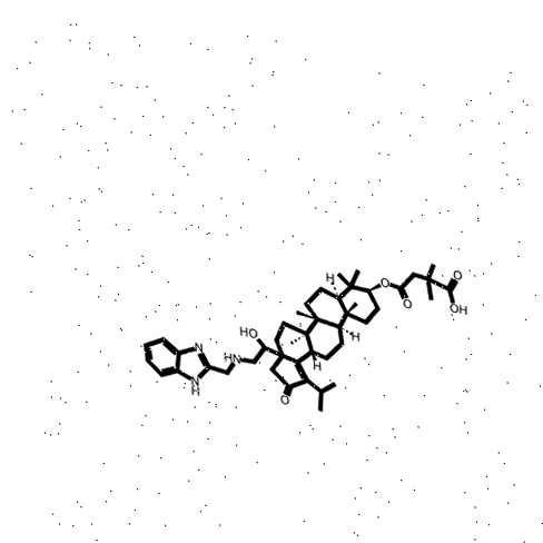 CC(C)C1=C2[C@H]3CC[C@@H]4[C@@]5(C)CC[C@H](OC(=O)CC(C)(C)C(=O)O)C(C)(C)[C@@H]5CC[C@@]4(C)[C@]3(C)CCC2(C(O)CNCc2nc3ccccc3[nH]2)CC1=O